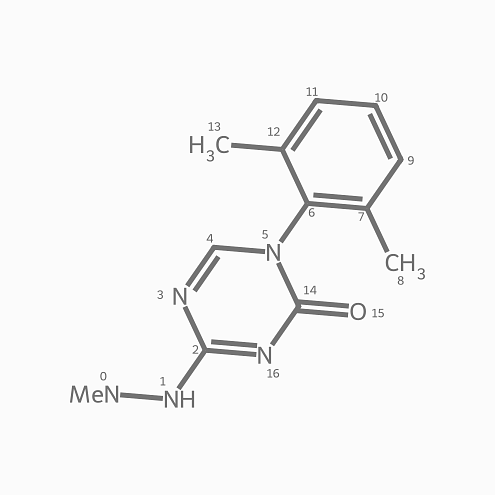 CNNc1ncn(-c2c(C)cccc2C)c(=O)n1